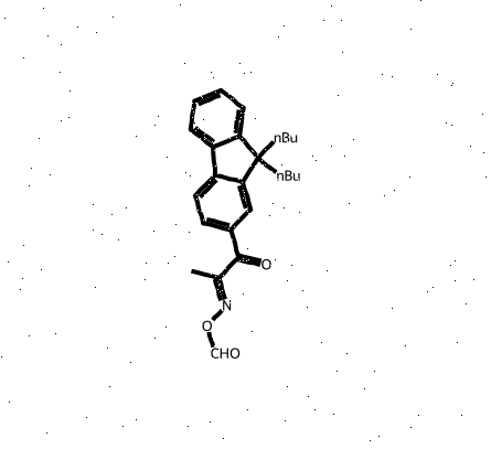 CCCCC1(CCCC)c2ccccc2-c2ccc(C(=O)/C(C)=N/OC=O)cc21